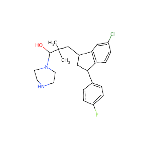 CC(C)(CC1CC(c2ccc(F)cc2)c2ccc(Cl)cc21)C(O)N1CCNCC1